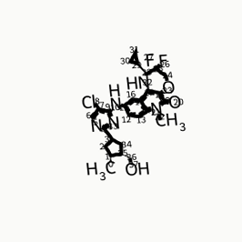 C[C@@H]1CC(c2ncc(Cl)c(Nc3ccc4c(c3)c3c(c(=O)n4C)OCC(F)(F)[C@H](C4CC4)N3)n2)C[C@@H]1CO